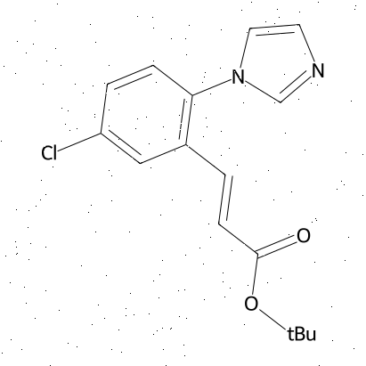 CC(C)(C)OC(=O)/C=C/c1cc(Cl)ccc1-n1ccnc1